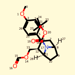 COc1ccc(C2C[C@H]3CC[C@@H]([C@H]2COC=O)N3C(=O)OC(C)(C)C)cc1